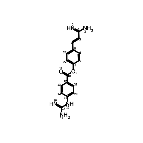 N=C(N)/C=C/c1ccc(OC(=O)c2ccc(NC(=N)N)cc2)cc1